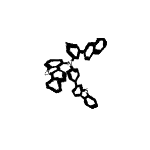 c1cc(-c2ccc3ccccc3c2)cc(N(c2ccc(-c3ccc4c(c3)sc3ccccc34)cc2)c2cccc3oc4c5ccccc5ccc4c23)c1